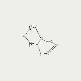 C1=CCC2[N]CNCC2C1